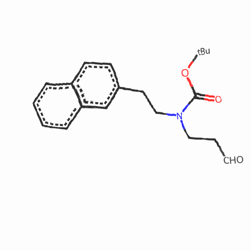 CC(C)(C)OC(=O)N(CCC=O)CCc1ccc2ccccc2c1